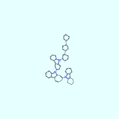 C1=Cc2c(n(-c3ccc4c(c3)c3ccccc3n4-c3cccc(-c4ccc(-c5ccccc5)cc4)c3)c3ccccc23)C=C(n2c3c(c4ccccc42)CCCC3)C1